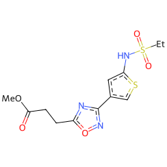 CCS(=O)(=O)Nc1cc(-c2noc(CCC(=O)OC)n2)cs1